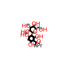 CCCC(=O)c1c(O)cc(O)c([C@@H]2O[C@H](CO)[C@@H](O)[C@H](O)[C@H]2O)c1O